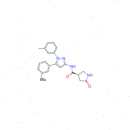 Cc1cccc(-n2nc(NC(=O)[C@H]3CNC(=O)C3)cc2-c2cccc(C(C)(C)C)c2)c1